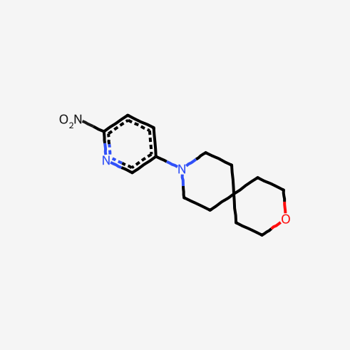 O=[N+]([O-])c1ccc(N2CCC3(CCOCC3)CC2)cn1